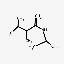 C=C(NC(C)C)C(C)C(C)C